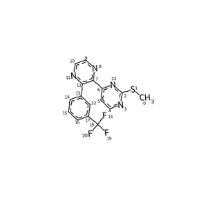 CSc1nccc(-c2nccnc2-c2cccc(C(F)(F)F)c2)n1